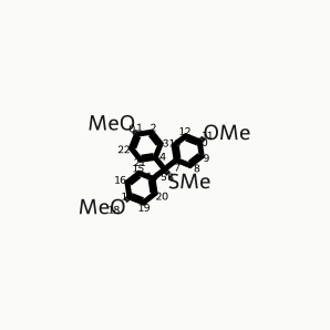 COc1ccc(C(SC)(c2ccc(OC)cc2)c2ccc(OC)cc2)cc1